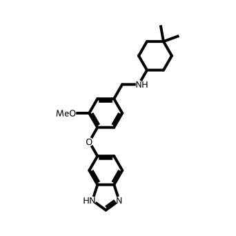 COc1cc(CNC2CCC(C)(C)CC2)ccc1Oc1ccc2nc[nH]c2c1